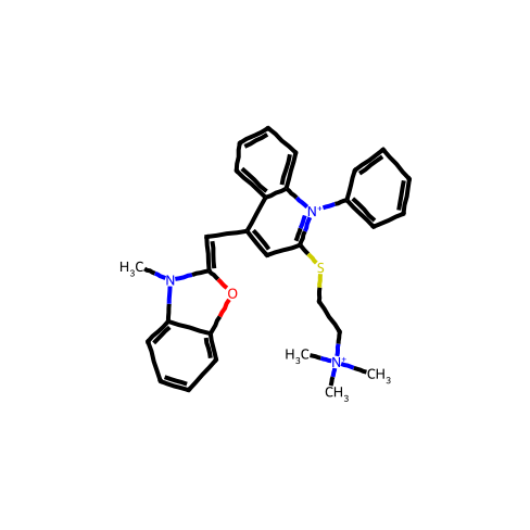 CN1/C(=C/c2cc(SCC[N+](C)(C)C)[n+](-c3ccccc3)c3ccccc23)Oc2ccccc21